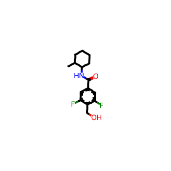 CC1CCCCC1NC(=O)c1cc(F)c(CO)c(F)c1